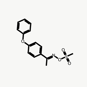 CC(=NOS(C)(=O)=O)c1ccc(Oc2ccccc2)cc1